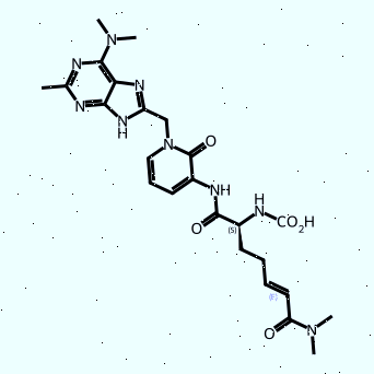 Cc1nc(N(C)C)c2nc(Cn3cccc(NC(=O)[C@H](CC/C=C/C(=O)N(C)C)NC(=O)O)c3=O)[nH]c2n1